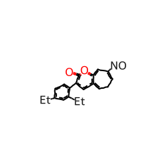 CCc1ccc(-c2cc3c(oc2=O)=CC(N=O)=CCC=3)c(CC)c1